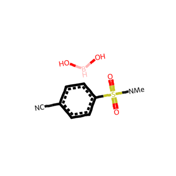 CNS(=O)(=O)c1ccc(C#N)cc1.OBO